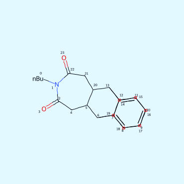 CCCCN1C(=O)CC2C3c4ccccc4C(c4ccccc43)C2CC1=O